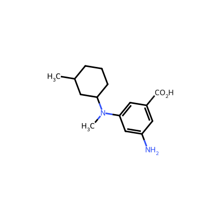 CC1CCCC(N(C)c2cc(N)cc(C(=O)O)c2)C1